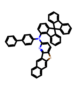 c1ccc(-c2ccc(N(c3ccc4sc5cc6ccccc6cc5c4n3)c3cccc4c3-c3ccccc3C43c4ccccc4-c4ccccc43)cc2)cc1